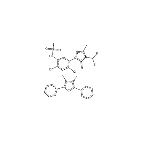 Cc1nn(-c2cc(NS(C)(=O)=O)c(Cl)cc2Cl)c(=O)n1C(F)F.Cn1c(-c2ccccc2)cc(-c2ccccc2)[n+]1C